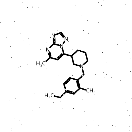 CCc1ccc(CN2CCCC(c3cc(C)nc4ncnn34)C2)c(C)c1